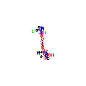 CC1=C(C)C2=C(C1)n1c(C)nnc1C(CC(=O)NCCOCCOCCOCCOCCOCCOc1cc(C3=C(C)N=CC3)ccc1CNC(=O)C1CC(O)CN1C(=O)[C@H](C(C)C)N1Cc3ccccc3C1=O)N=C2c1ccc(Cl)cc1